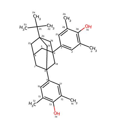 Cc1cc(C23CC4CC(c5cc(C)c(O)c(C)c5)(C2)CC(C(C)(C)C)(C4)C3)cc(C)c1O